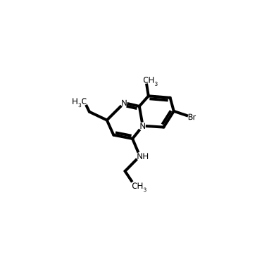 CCNC1=CC(CC)N=C2C(C)=CC(Br)=CN12